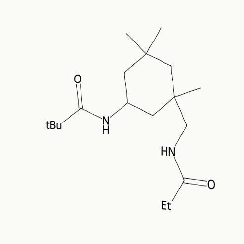 CCC(=O)NCC1(C)CC(NC(=O)C(C)(C)C)CC(C)(C)C1